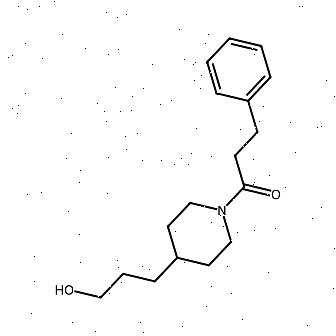 O=C(CCc1ccccc1)N1CCC(CCCO)CC1